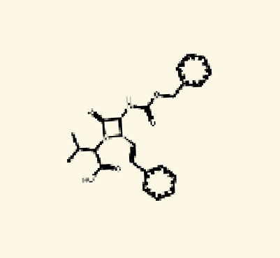 CC(C)C(C(=O)O)N1C(=O)[C@@H](NC(=O)OCc2ccccc2)[C@H]1C=Cc1ccccc1